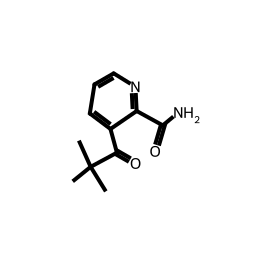 CC(C)(C)C(=O)c1cccnc1C(N)=O